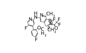 COc1cc(F)ccc1-c1cc(Nc2cc(CS(C)=NC(=O)C(F)(F)F)c(Br)c(C)n2)ncc1F